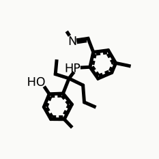 CCCC(CC)(Pc1ccc(C)cc1/C=N/C)c1cc(C)ccc1O